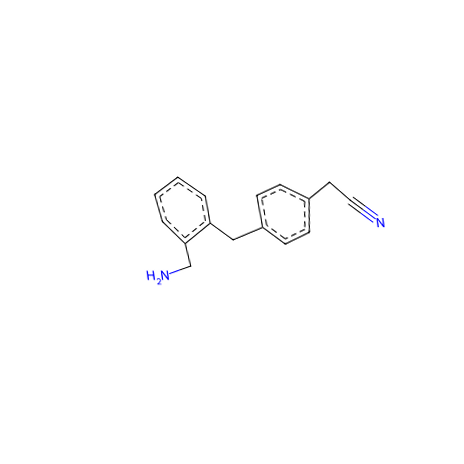 N#CCc1ccc(Cc2ccccc2CN)cc1